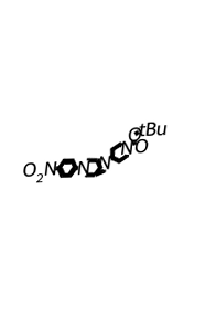 CC(C)(C)OC(=O)N1CCC(N2CC3CC2CN(c2ccc([N+](=O)[O-])cc2)C3)CC1